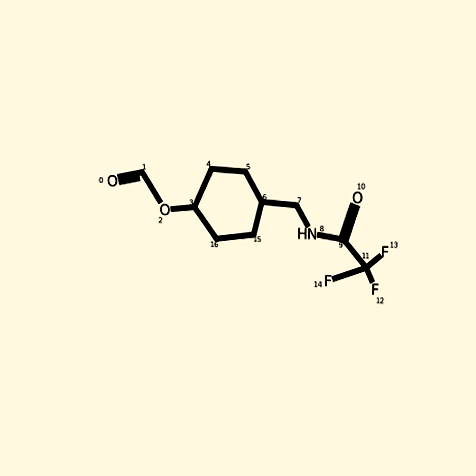 O=COC1CCC(CNC(=O)C(F)(F)F)CC1